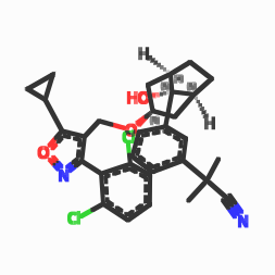 CC(C)(C#N)c1cccc([C@@]2(O)[C@@H]3CC[C@H]2C[C@@H](OCc2c(-c4c(Cl)cccc4Cl)noc2C2CC2)C3)c1